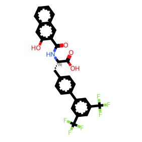 O=C(N[C@@H](Cc1ccc(-c2cc(C(F)(F)F)cc(C(F)(F)F)c2)cc1)C(=O)O)c1cc2ccccc2cc1O